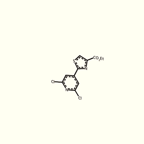 CCOC(=O)c1csc(-c2cc(Cl)nc(Cl)c2)n1